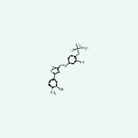 CCCc1cc(OCc2nc(-c3ccc(C)c(C)c3)ns2)ccc1OC(C)(C)C(=O)OCC